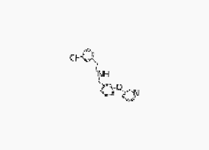 Clc1cccc(CCNCc2cccc(Oc3cccnc3)c2)c1